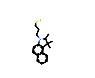 CC1=[N+](CCCS)c2ccc3ccccc3c2C1(C)C